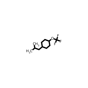 CC(C)CC1CCC(OC(F)(F)F)CC1